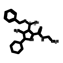 CC[C@H](C)[C@H](OCc1ccccc1)C1C(C(=O)NCC(=O)O)NC(C2CCCCC2)C1[N+](=O)[O-]